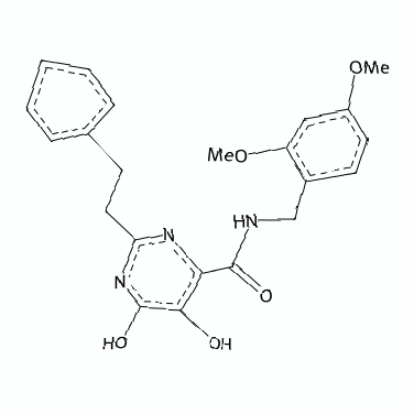 COc1ccc(CNC(=O)c2nc(CCc3ccccc3)nc(O)c2O)c(OC)c1